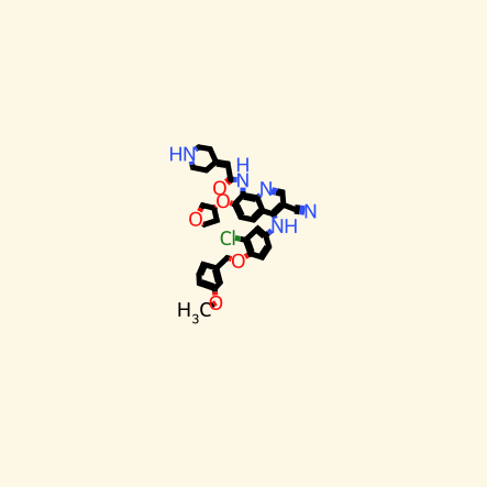 COc1cccc(COc2ccc(Nc3c(C#N)cnc4c(NC(=O)C=C5CCNCC5)c(OC5CCOC5)ccc34)cc2Cl)c1